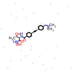 C[C@H](O)[C@H](NC(=O)c1ccc(C#Cc2ccc(CN(C)C)cc2)cc1)C(=O)NO